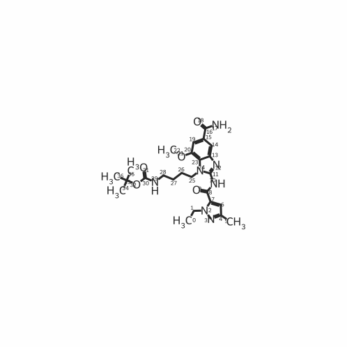 CCn1nc(C)cc1C(=O)Nc1nc2cc(C(N)=O)cc(OC)c2n1CCCCNC(=O)OC(C)(C)C